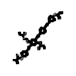 C=CC(=O)OCOc1cc(C#Cc2ccc(C#Cc3ccc(OC(=O)C=C)cc3)cc2)c(OC(=O)C=C)cc1C#Cc1ccc(OC(=O)C(=C)C)cc1